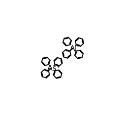 c1cc[c]([Al-]([c]2ccccc2)([c]2ccccc2)[c]2ccccc2)cc1.c1ccc([As+](c2ccccc2)(c2ccccc2)c2ccccc2)cc1